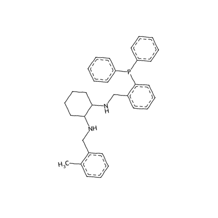 Cc1ccccc1CNC1CCCCC1NCc1ccccc1P(c1ccccc1)c1ccccc1